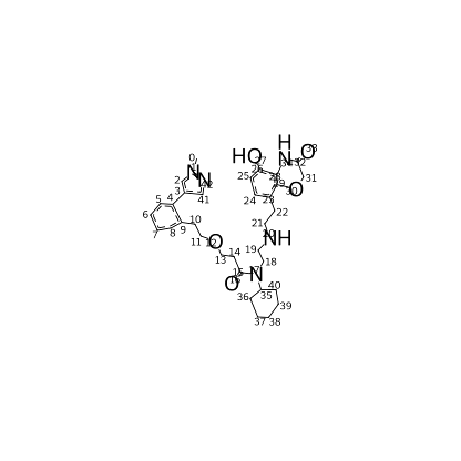 Cn1cc(-c2ccccc2CCOCCC(=O)N(CCNCCc2ccc(O)c3c2OCC(=O)N3)C2CCCCC2)cn1